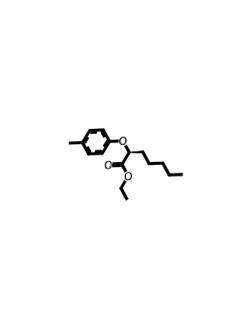 CCCCC[C@H](Oc1ccc(C)cc1)C(=O)OCC